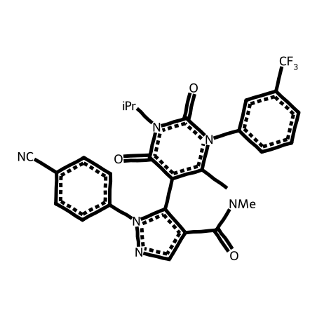 CNC(=O)c1cnn(-c2ccc(C#N)cc2)c1-c1c(C)n(-c2cccc(C(F)(F)F)c2)c(=O)n(C(C)C)c1=O